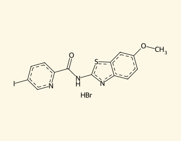 Br.COc1ccc2nc(NC(=O)c3ccc(I)cn3)sc2c1